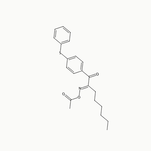 CCCCCCC(=NOC(C)=O)C(=O)c1ccc(Sc2ccccc2)cc1